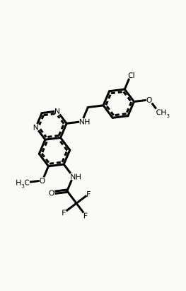 COc1ccc(CNc2ncnc3cc(OC)c(NC(=O)C(F)(F)F)cc23)cc1Cl